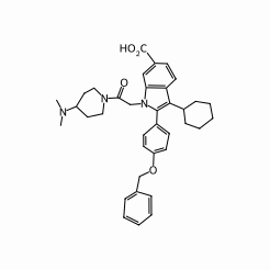 CN(C)C1CCN(C(=O)Cn2c(-c3ccc(OCc4ccccc4)cc3)c(C3CCCCC3)c3ccc(C(=O)O)cc32)CC1